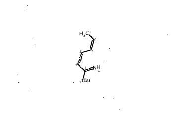 C/C=C\C=C/C(=N)C(C)(C)C